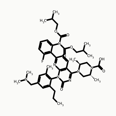 CCCc1cc(CN(C)C)cc(C)c1-n1c(=O)nc(N2C[C@@H](C)N(C(=O)O)C[C@@H]2C)c2cc(F)c(-c3c(F)cccc3N(C(=O)OCC(C)C)C(=O)OCC(C)C)nc21